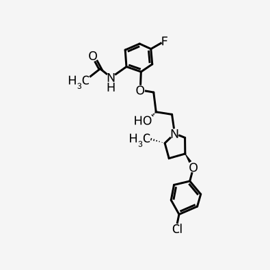 CC(=O)Nc1ccc(F)cc1OC[C@@H](O)CN1C[C@@H](Oc2ccc(Cl)cc2)C[C@@H]1C